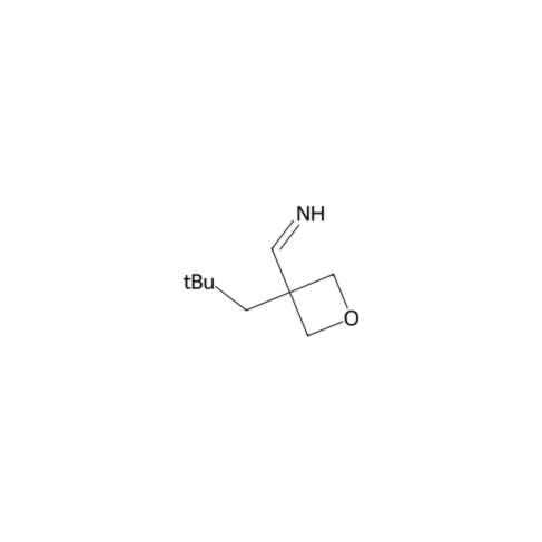 CC(C)(C)CC1(C=N)COC1